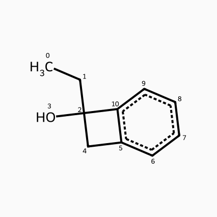 CCC1(O)Cc2ccccc21